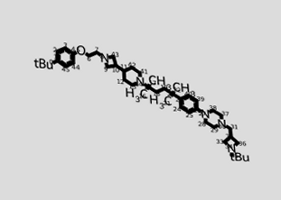 CC(C)(C)c1ccc(OCCN2CC(C3CCN(C(C)(C)CCC(C)(C)c4ccc(N5CCN(CC6CN(C(C)(C)C)C6)CC5)cc4)CC3)C2)cc1